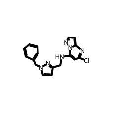 Clc1cc(NCc2ccn(Cc3ccccc3)n2)n2nccc2n1